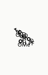 COc1ccc([C@@H]2CN(c3c(C)ccn(CC4CC4)c3=O)C(=O)[C@H]2NC(=O)c2ccc(OC(F)F)cc2)c(F)c1